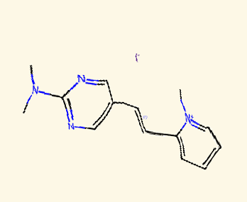 CN(C)c1ncc(/C=C/c2cccc[n+]2C)cn1.[I-]